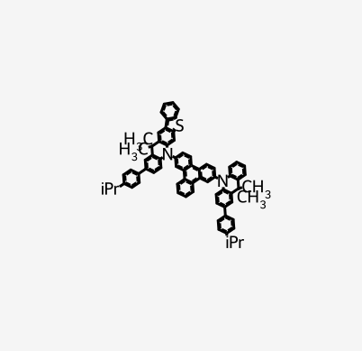 CC(C)c1ccc(-c2ccc3c(c2)C(C)(C)c2ccccc2N3c2ccc3c4ccc(N5c6ccc(-c7ccc(C(C)C)cc7)cc6C(C)(C)c6cc7c(cc65)sc5ccccc57)cc4c4ccccc4c3c2)cc1